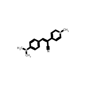 CN1C=CC(C(C#N)=Cc2ccc(N(C)C)cc2)=CC1